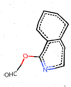 O=[C]Oc1nccc2ccccc12